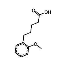 COc1ccccc1CCCCC(=O)O